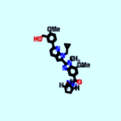 COc1ccc(-c2ccc3cc(-c4nc5cc(C(=O)N6C[C@H]7CC[C@@H]6[C@@H]7N)cc(OC)c5n4C)n(CC4CC4)c3n2)cc1CO